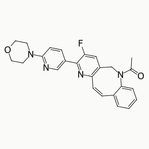 CC(=O)N1Cc2cc(F)c(-c3ccc(N4CCOCC4)nc3)nc2/C=C\c2ccccc21